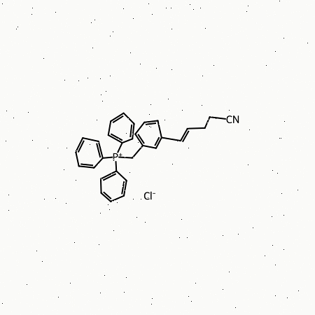 N#CCCC=Cc1cccc(C[P+](c2ccccc2)(c2ccccc2)c2ccccc2)c1.[Cl-]